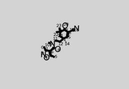 Cc1noc(C)c1C(=O)N(C)CC[C@]1(C)C=C(C#N)C(=O)C(C)(C)C1